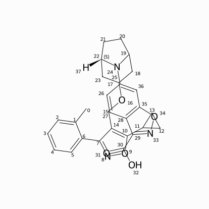 Cc1ccccc1-c1noc(C2CC2)c1COC1CC2CC[C@@H](C1)N2c1ccc2c(C(=O)O)noc2c1